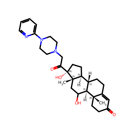 C[C@]12CCC(=O)C=C1CC[C@@H]1[C@@H]2C(O)C[C@@]2(C)[C@H]1CC[C@]2(O)C(=O)CN1CCN(c2ccccn2)CC1